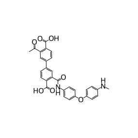 CNc1ccc(Oc2ccc(NC(=O)c3cc(-c4ccc(C(=O)O)c(C(C)=O)c4)ccc3C(=O)O)cc2)cc1